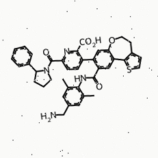 Cc1cc(CN)cc(C)c1NC(=O)c1cc2c(cc1-c1ccc(C(=O)N3CCCC3c3ccccc3)nc1C(=O)O)OCCc1ccsc1-2